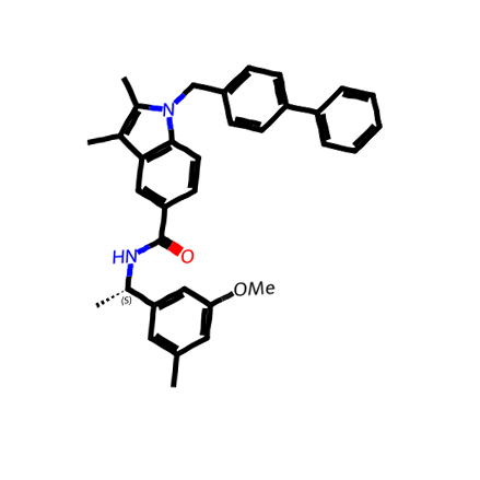 COc1cc(C)cc([C@H](C)NC(=O)c2ccc3c(c2)c(C)c(C)n3Cc2ccc(-c3ccccc3)cc2)c1